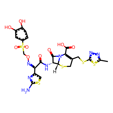 Cc1nnc(SCC2=C(C(=O)O)N3C(=O)[C@@H](NC(=O)/C(=N\OCS(=O)(=O)c4ccc(O)c(O)c4)c4csc(N)n4)[C@H]3SC2)s1